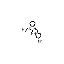 Cn1c(=N)n(Cc2ccc(Br)cc2)c2ccccc21